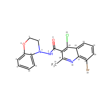 O=C(NN1CCOc2ccccc21)c1c(C(F)(F)F)nc2c(Br)cccc2c1Cl